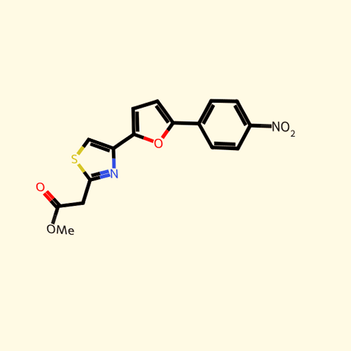 COC(=O)Cc1nc(-c2ccc(-c3ccc([N+](=O)[O-])cc3)o2)cs1